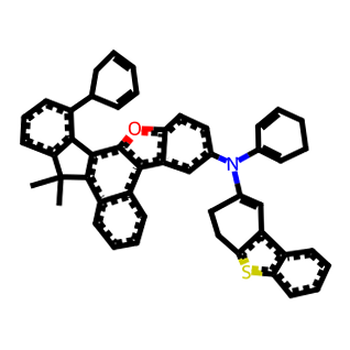 CC1(C)c2cccc(C3C=CC=CC3)c2-c2c1c1ccccc1c1c2oc2ccc(N(C3=CCCC=C3)C3=Cc4c(sc5ccccc45)CC3)cc21